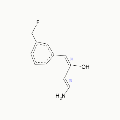 N/C=C/C(O)=C\c1cccc(CF)c1